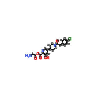 NCC(=O)OC(=O)c1ncc(C2CCN(C(=O)Cc3ccc(Cl)cc3)CC2)cc1O